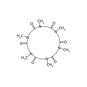 CN1CC(=O)N(C)CC(=O)N(C)CC(=O)N(C)CC(=O)N(C)CC(=O)N(C)CC1=O